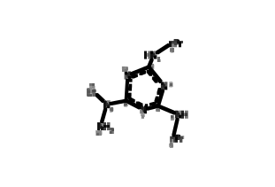 CCCNc1nc(NCCC)nc(N(N)CC)n1